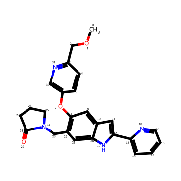 COCc1ccc(Oc2cc3cc(-c4ccccn4)[nH]c3cc2CN2CCCC2=O)cn1